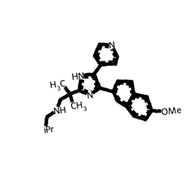 COc1ccc2cc(-c3nc(C(C)(C)CNCC(C)C)[nH]c3-c3ccncc3)ccc2c1